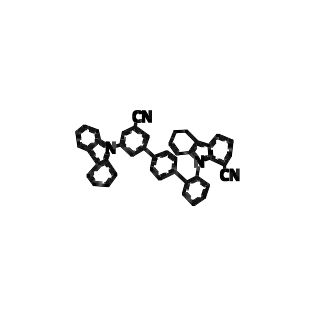 N#Cc1cc(-c2ccc(-c3ccccc3-n3c4c(c5cccc(C#N)c53)CCC=C4)cc2)cc(-n2c3ccccc3c3ccccc32)c1